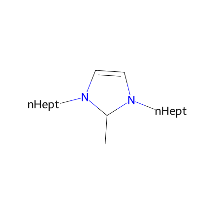 CCCCCCCN1C=CN(CCCCCCC)C1C